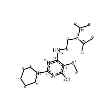 CSc1c(Cl)nc(N2CCCCC2)nc1NCCN(C(C)C)C(C)C